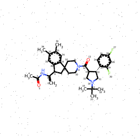 C=C(NC(C)=O)C1CC2(CCN(C(=O)C3CN(C(C)(C)C)C[C@H]3c3ccc(F)cc3F)CC2)c2cc(C)c(C)cc21